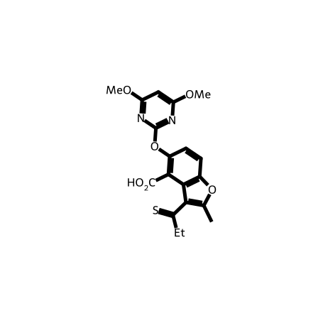 CCC(=S)c1c(C)oc2ccc(Oc3nc(OC)cc(OC)n3)c(C(=O)O)c12